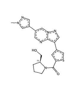 Cn1cc(-c2cnc3c(-c4csc(C(=O)N5CCC[C@H]5CO)c4)cnn3c2)cn1